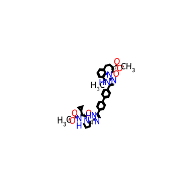 CCc1cccc2c1N(c1ncc(-c3ccc(-c4ccc(-c5cnc([C@@H]6CCCN6C(=O)[C@@H](NC(=O)OC)C6CC6)[nH]5)cc4)cc3)[nH]1)C(=O)[C@@H](C(=O)OC)CC2